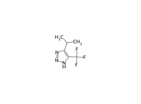 CC(C)c1nn[nH]c1C(F)(F)F